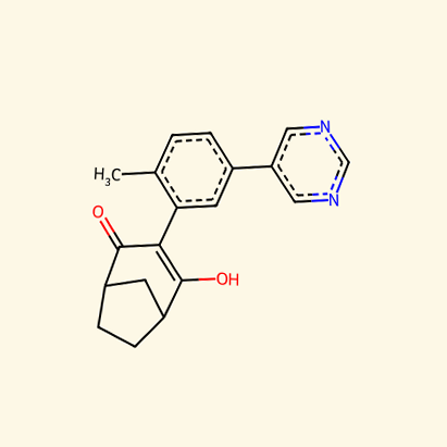 Cc1ccc(-c2cncnc2)cc1C1=C(O)C2CCC(C2)C1=O